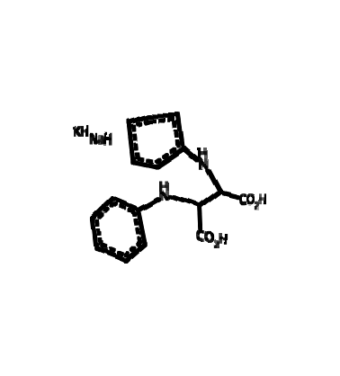 O=C(O)C(Nc1ccccc1)C(Nc1ccccc1)C(=O)O.[KH].[NaH]